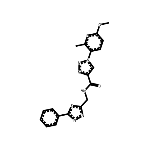 COc1ccc(-n2cc(C(=O)NCc3nnc(-c4ccccc4)s3)nn2)c(C)n1